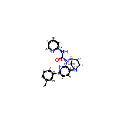 Cc1cccc(-c2ccc3c(n2)N(C(=O)Nc2ccccn2)C2CCN3CC2)c1